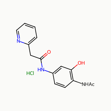 CC(=O)Nc1ccc(NC(=O)Cc2ccccn2)cc1O.Cl